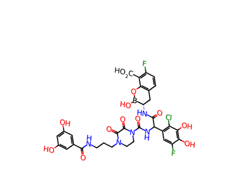 O=C(NCCCN1CCN(C(=O)NC(C(=O)N[C@H]2Cc3ccc(F)c(C(=O)O)c3OB2O)c2cc(F)c(O)c(O)c2Cl)C(=O)C1=O)c1cc(O)cc(O)c1